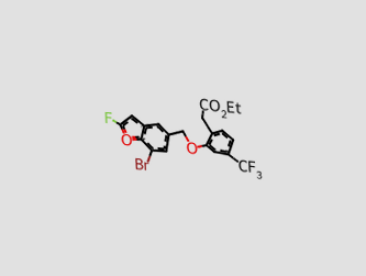 CCOC(=O)Cc1ccc(C(F)(F)F)cc1OCc1cc(Br)c2oc(F)cc2c1